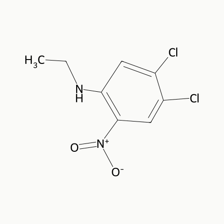 CCNc1cc(Cl)c(Cl)cc1[N+](=O)[O-]